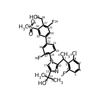 CC(c1c(F)cccc1Cl)c1nc(C(C)(C)O)cn1-c1ccc(-c2cc(F)c(CO)c(S(C)(=O)=O)c2)cc1F